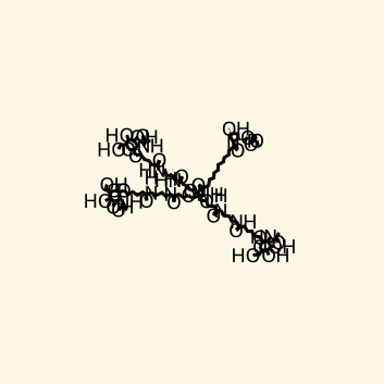 COP(C)(=O)OC[C@@H]1C[C@@H](O)CN1C(=O)CCCCCCCCCCC(=O)NC(COCCC(=O)NCCCNC(=O)CCCCOC1OC(CO)C(O)C(O)C1NC(C)=O)(COCCC(=O)NCCCNC(=O)CCCCOC1OC(CO)C(O)C(O)C1NC(C)=O)COCCC(=O)NCCCNC(=O)CCCCOC1OC(CO)C(O)C(O)C1NC(C)=O